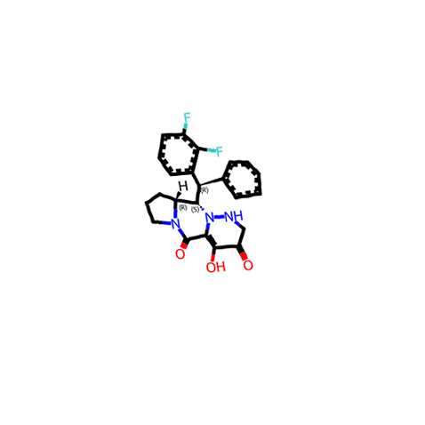 O=C1CNN2C(=C1O)C(=O)N1CCC[C@@H]1[C@@H]2[C@H](c1ccccc1)c1cccc(F)c1F